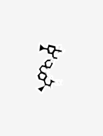 CC(c1cc(C2CC2)ccc1C(F)(F)F)N1CCC2(CCc3ccc([C@H](C4CC4)[C@H](C)C(=O)O)cc3O2)CC1